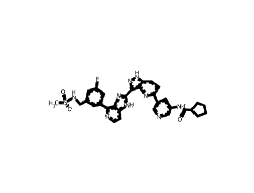 CS(=O)(=O)NCc1cc(F)cc(-c2nccc3[nH]c(-c4n[nH]c5ccc(-c6cncc(NC(=O)C7CCCC7)c6)nc45)nc23)c1